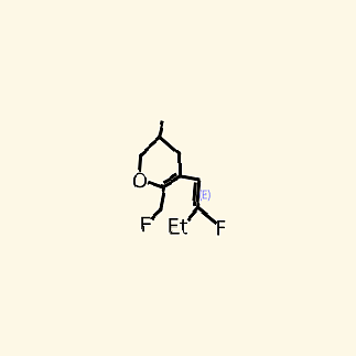 CC/C(F)=C\C1=C(CF)OCC(C)C1